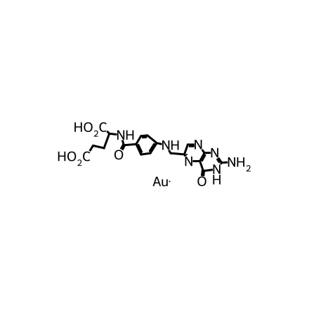 Nc1nc2ncc(CNc3ccc(C(=O)NC(CCC(=O)O)C(=O)O)cc3)nc2c(=O)[nH]1.[Au]